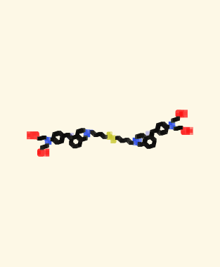 OCCN(CCO)c1ccc(/C=C2\CCCc3c[n+](CCCCSSCCCC[n+]4ccc5c(c4)CCC/C5=C\c4ccc(N(CCO)CCO)cc4)ccc32)cc1